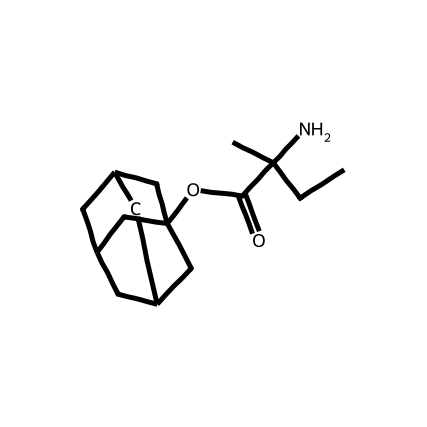 CCC(C)(N)C(=O)OC12CC3CC(CC(C3)C1)C2